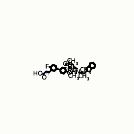 COc1ccc(-c2ccc(F)c(/C=C/C(=O)O)c2)cc1S(=O)(=O)N(C)C[C@H](O)CNC(C)(C)CC1Cc2ccccc2C1